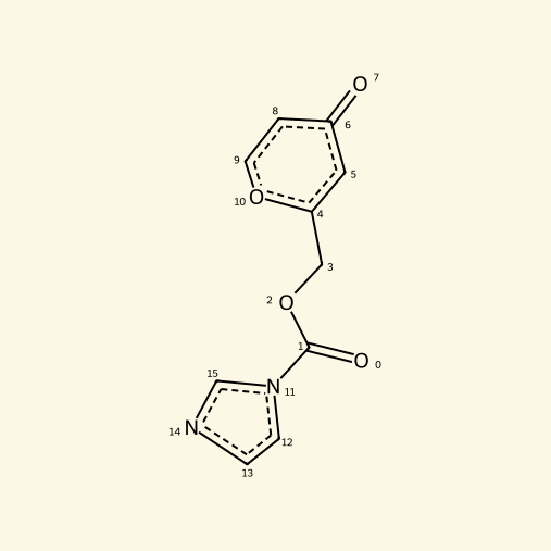 O=C(OCc1cc(=O)cco1)n1ccnc1